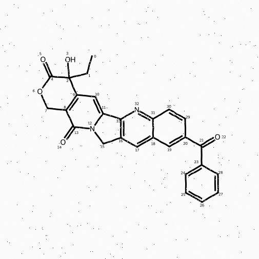 CCC1(O)C(=O)OCc2c1cc1n(c2=O)Cc2cc3cc(C(=O)c4ccccc4)ccc3nc2-1